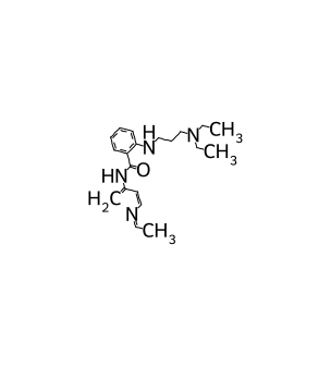 C=C(/C=C\N=C/C)NC(=O)c1ccccc1NCCCN(CC)CC